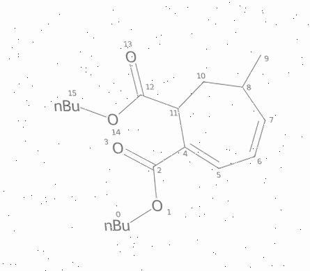 CCCCOC(=O)C1=CC=CC(C)CC1C(=O)OCCCC